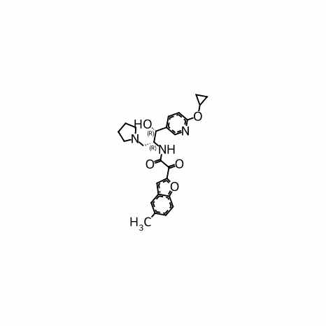 Cc1ccc2oc(C(=O)C(=O)N[C@H](CN3CCCC3)[C@H](O)c3ccc(OC4CC4)nc3)cc2c1